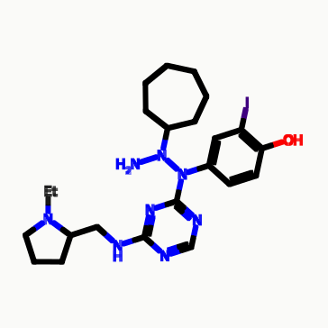 CCN1CCCC1CNc1ncnc(N(c2ccc(O)c(I)c2)N(N)C2CCCCCC2)n1